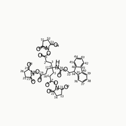 O=C(CCC(CCC(=O)ON1C(=O)CCC1=O)(CCC(=O)ON1C(=O)CCC1=O)NC(=O)OCC1c2ccccc2-c2ccccc21)ON1C(=O)CCC1=O